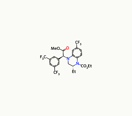 CCOC(=O)N1c2ccc(C(F)(F)F)cc2N([C@H](C(=O)OC)c2cc(C(F)(F)F)cc(C(F)(F)F)c2)C[C@H]1CC